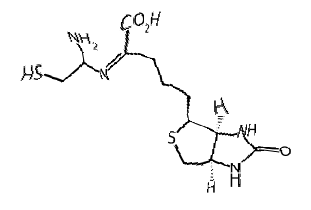 NC(CS)N=C(CCC[C@@H]1SC[C@@H]2NC(=O)N[C@@H]21)C(=O)O